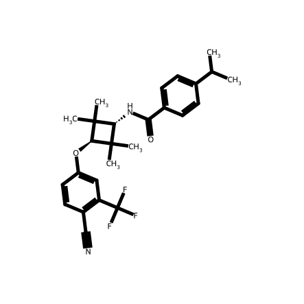 CC(C)c1ccc(C(=O)N[C@H]2C(C)(C)[C@H](Oc3ccc(C#N)c(C(F)(F)F)c3)C2(C)C)cc1